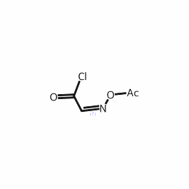 CC(=O)O/N=C\C(=O)Cl